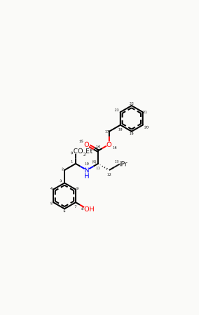 CCOC(=O)C(Cc1cccc(O)c1)N[C@@H](CC(C)C)C(=O)OCc1ccccc1